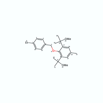 CCc1ccc(COc2c(C(C)(C)OC)cc(C)cc2C(C)(C)OC)cc1